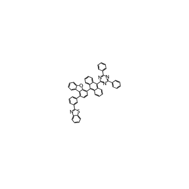 c1ccc(-c2nc(-c3ccccc3)nc(-c3c4ccccc4c(-c4ccc(-c5cccc(-c6nc7ccccc7s6)c5)c5c4oc4ccccc45)c4ccccc34)n2)cc1